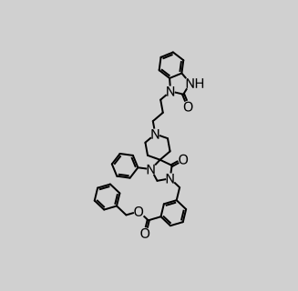 O=C(OCc1ccccc1)c1cccc(CN2CN(c3ccccc3)C3(CCN(CCCn4c(=O)[nH]c5ccccc54)CC3)C2=O)c1